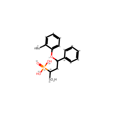 CCCCc1ccccc1OC(CC(P(=O)(O)O)S(=O)(=O)O)c1ccccc1